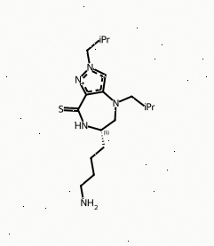 CC(C)CN1C[C@H](CCCCN)NC(=S)c2nn(CC(C)C)cc21